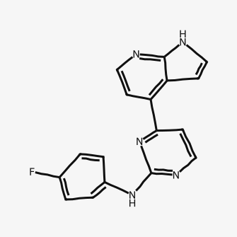 Fc1ccc(Nc2nccc(-c3ccnc4[nH]ccc34)n2)cc1